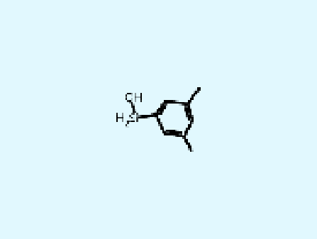 Cc1cc(C)cc([SiH2]O)c1